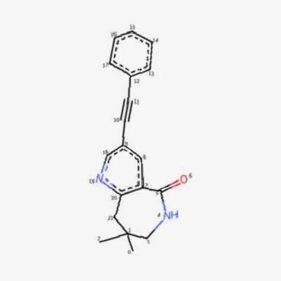 CC1(C)CNC(=O)c2cc(C#Cc3ccccc3)cnc2C1